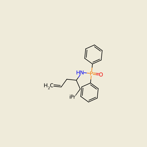 C=CCC(CC(C)C)NP(=O)(c1ccccc1)c1ccccc1